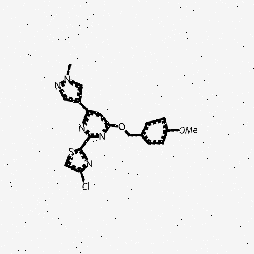 COc1ccc(COc2cc(-c3cnn(C)c3)nc(-c3nc(Cl)cs3)n2)cc1